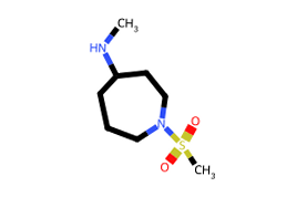 CNC1CCCN(S(C)(=O)=O)CC1